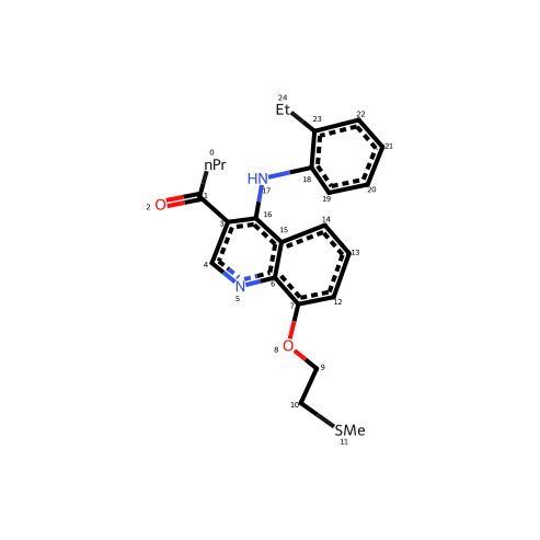 CCCC(=O)c1cnc2c(OCCSC)cccc2c1Nc1ccccc1CC